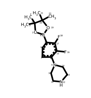 CC1(C)OB(c2ccc(N3CCNCC3)c(F)c2F)OC1(C)C